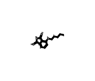 CCCCCOc1cccc2c1C(=O)OC2=O